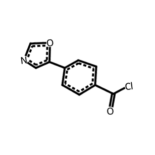 O=C(Cl)c1ccc(-c2cnco2)cc1